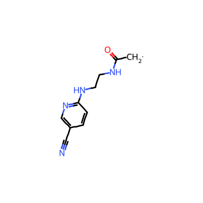 [CH2]C(=O)NCCNc1ccc(C#N)cn1